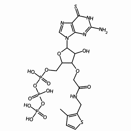 Cc1ccsc1CNC(=O)COC1C(COP(=O)(O)OP(=O)(O)OP(=O)(O)O)OC(n2cnc3c(=S)[nH]c(N)nc32)C1O